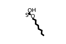 CCCCCCCCOC(O)=S